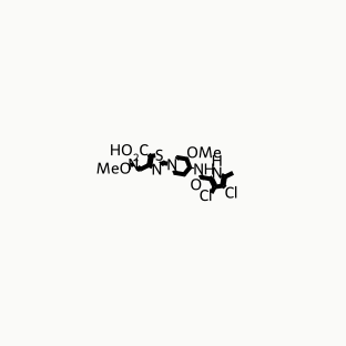 CO/N=C/c1nc(N2CC[C@@H](NC(=O)c3[nH]c(C)c(Cl)c3Cl)[C@@H](OC)C2)sc1C(=O)O